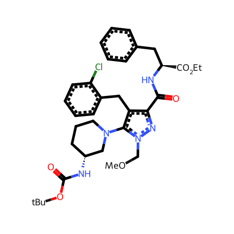 CCOC(=O)[C@H](Cc1ccccc1)NC(=O)c1nn(COC)c(N2CCC[C@@H](NC(=O)OC(C)(C)C)C2)c1Cc1ccccc1Cl